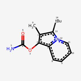 Cc1c(OC(N)=O)c2ccccn2c1C(C)(C)C